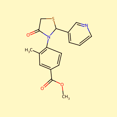 COC(=O)c1ccc(N2C(=O)CSC2c2cccnc2)c(C)c1